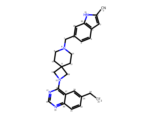 N#Cc1cc2ccc(CN3CCC4(CC3)CN(c3ncnc5ccc(CC(F)(F)F)cc35)C4)cc2[nH]1